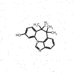 CC1(C)c2ccc(O)cc2-n2cnc3cccc(c32)C1(C)C